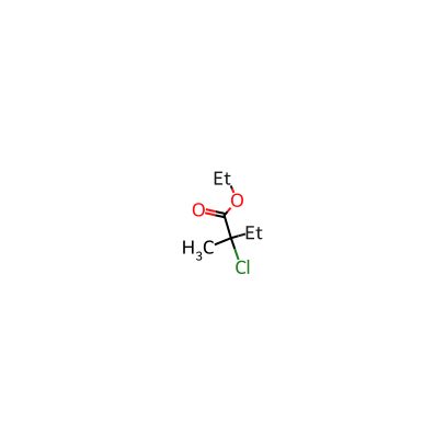 CCOC(=O)C(C)(Cl)CC